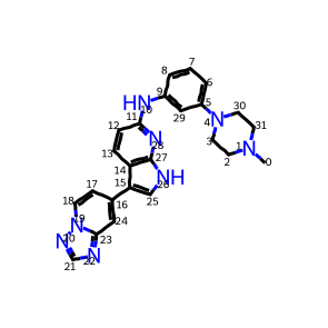 CN1CCN(c2cccc(Nc3ccc4c(-c5ccn6ncnc6c5)c[nH]c4n3)c2)CC1